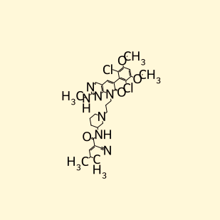 CNc1ncc2cc(-c3c(Cl)c(OC)cc(OC)c3Cl)c(=O)n(CCCN3CCCC(NC(=O)C(C#N)=CC(C)C)C3)c2n1